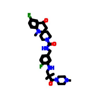 CN1CCN(C(=O)C(C)(C)CNc2cc(CNC(=O)N3CCC4(CC3)CC(=O)c3cc(F)ccc3N4C)ccc2F)CC1